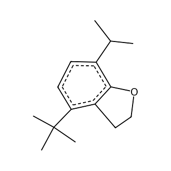 CC(C)c1ccc(C(C)(C)C)c2c1OCC2